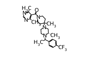 Cc1ncnc(C)c1C(=O)N1CCC(C)(N2CCN(C(C)c3ccc(C(F)(F)F)cc3)[C@@H](C)C2)CC1